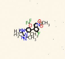 Cc1c(-c2cc(F)cc3c2ccn3S(C)(=O)=O)c(OC(F)F)cc2c1-n1c(C)nnc1C(C)(C)N2